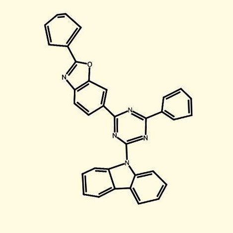 c1ccc(-c2nc(-c3ccc4nc(-c5ccccc5)oc4c3)nc(-n3c4ccccc4c4ccccc43)n2)cc1